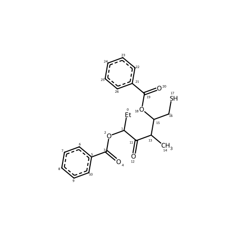 CCC(OC(=O)c1ccccc1)C(=O)C(C)C([CH]S)OC(=O)c1ccccc1